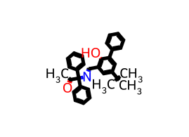 CC(=O)C(/N=C/c1cc(C(C)(C)C)cc(-c2ccccc2)c1O)(c1ccccc1)c1ccccc1